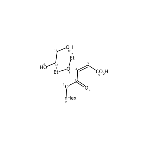 CCCCCCOC(=O)/C=C\C(=O)O.CCOCC.OCCO